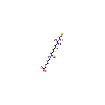 O=C(O)CCCCCNC(=O)CCCCCNC(=O)NCCS